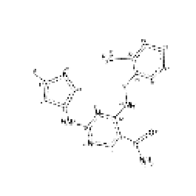 Cn1cc(Nc2ncc(C(N)=O)c(NCc3ccccc3C(F)(F)F)n2)cn1